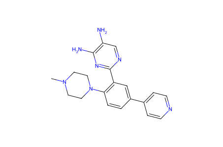 CN1CCN(c2ccc(-c3ccncc3)cc2-c2ncc(N)c(N)n2)CC1